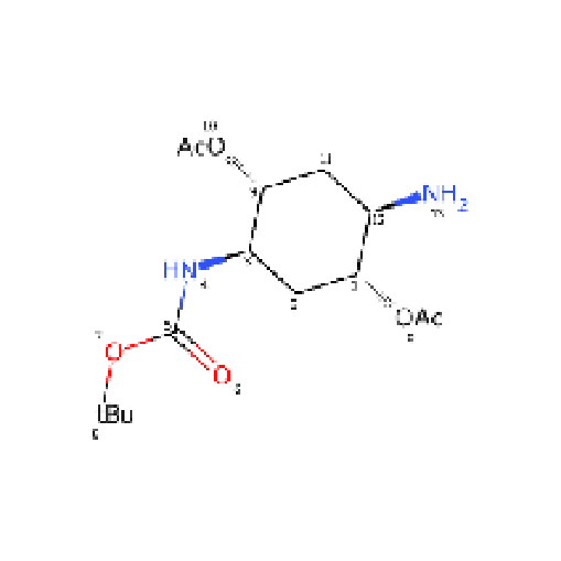 CC(=O)O[C@@H]1C[C@@H](NC(=O)OC(C)(C)C)[C@H](OC(C)=O)C[C@H]1N